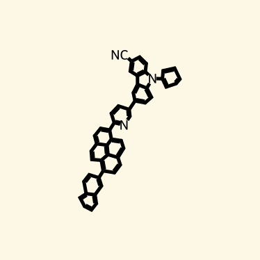 N#Cc1ccc2c(c1)c1cc(-c3ccc(-c4ccc5ccc6c(-c7ccc8ccccc8c7)ccc7ccc4c5c76)nc3)ccc1n2-c1ccccc1